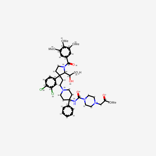 COC(=O)CN1CCN(C(=O)NC2(c3ccccc3)CCN(CCC3(c4ccc(Cl)c(Cl)c4)CCN(C(=O)c4cc(OC)c(OC)c(OC)c4)C3C(O)S(=O)(=O)O)CC2)CC1